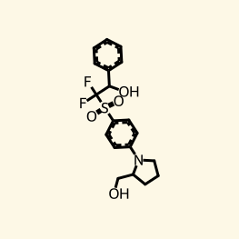 O=S(=O)(c1ccc(N2CCCC2CO)cc1)C(F)(F)C(O)c1ccccc1